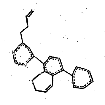 C=CCCc1cc(-c2ccc(-c3ccccc3)c3c2CCC=C3)ncn1